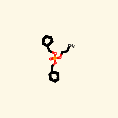 [CH2]CCOP(=O)(OCc1ccccc1)OCc1ccccc1